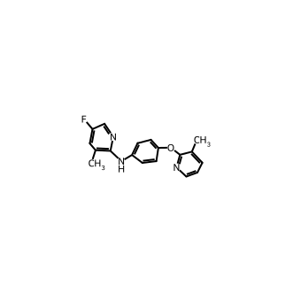 Cc1cc(F)cnc1Nc1ccc(Oc2ncccc2C)cc1